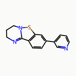 c1cncc(-c2ccc3c(c2)SN2CCCN=C32)c1